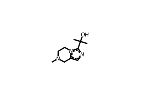 CN1CCn2c(cnc2C(C)(C)O)C1